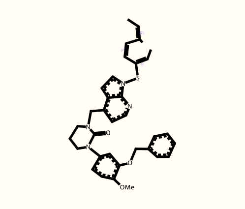 C\C=C(C)/C=C\C(=C/C)Sn1ccc2c(CN3CCCN(c4ccc(OC)c(OCc5ccccc5)c4)C3=O)ccnc21